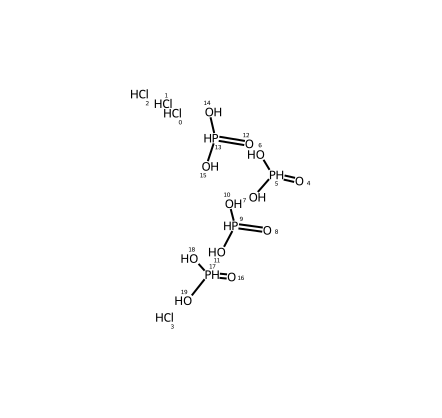 Cl.Cl.Cl.Cl.O=[PH](O)O.O=[PH](O)O.O=[PH](O)O.O=[PH](O)O